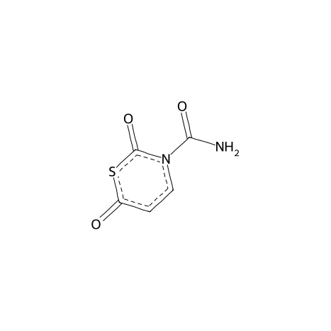 NC(=O)n1ccc(=O)sc1=O